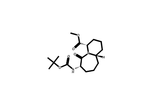 COC(=O)[C@@H]1CCC[C@@H]2CCC[C@H](NC(=O)OC(C)(C)C)C(=O)N21